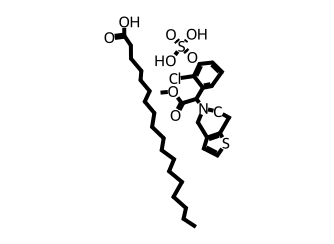 CCCCCCCCCCCCCCCCCC(=O)O.COC(=O)C(c1ccccc1Cl)N1CCc2sccc2C1.O=S(=O)(O)O